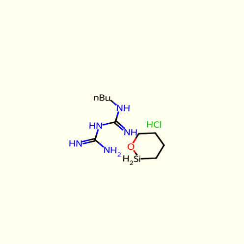 C1CC[SiH2]OC1.CCCCNC(=N)NC(=N)N.Cl